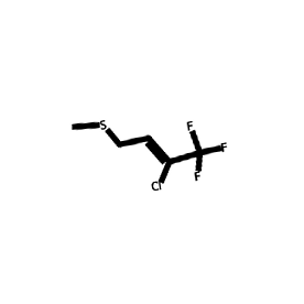 CSCC=C(Cl)C(F)(F)F